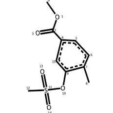 COC(=O)c1ccc(C)c(OS(C)(=O)=O)c1